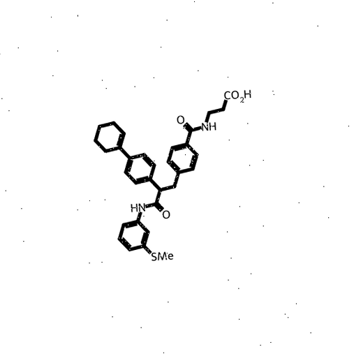 CSc1cccc(NC(=O)C(Cc2ccc(C(=O)NCCC(=O)O)cc2)c2ccc(C3=CCCCC3)cc2)c1